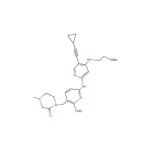 COCCNc1cc(Nc2ccc(CN3CCN(C)CC3=O)c(C=O)n2)ncc1C#CC1CC1